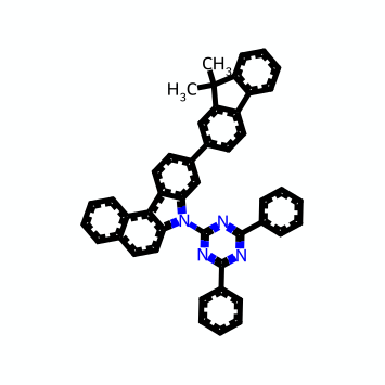 CC1(C)c2ccccc2-c2ccc(-c3ccc4c5c6ccccc6ccc5n(-c5nc(-c6ccccc6)nc(-c6ccccc6)n5)c4c3)cc21